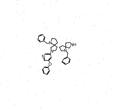 c1ccc(CN2CCCC23CCN(c2cncc(Oc4ccccc4)c2)C3)cc1.c1ccc(CN2CCCC23CCNC3)cc1